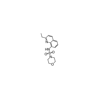 CCc1ccc2cccc(NS(=O)(=O)N3CCOCC3)c2n1